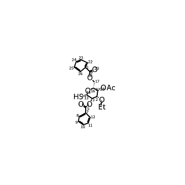 CCO[C@@H]1[C@@H](OC(=O)c2ccccc2)[C@H](S)O[C@H](COC(=O)c2ccccc2)[C@@H]1OC(C)=O